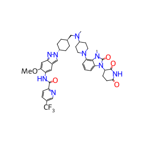 COc1cc2nn([C@H]3CC[C@H](CN(C)C4CCN(c5cccc6c5n(C)c(=O)n6C5CCC(=O)NC5=O)CC4)CC3)cc2cc1NC(=O)c1ccc(C(F)(F)F)cn1